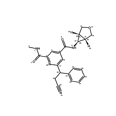 CNC(=O)c1cc(C(=O)N[C@H]2[C@@H]3COC[C@@H]32)cc(C(CC#N)c2ccccc2)n1